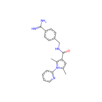 Cc1cc(C(=O)NCc2ccc(C(=N)N)cc2)c(C)n1-c1ccccn1